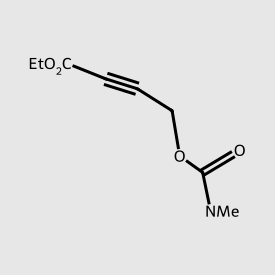 CCOC(=O)C#CCOC(=O)NC